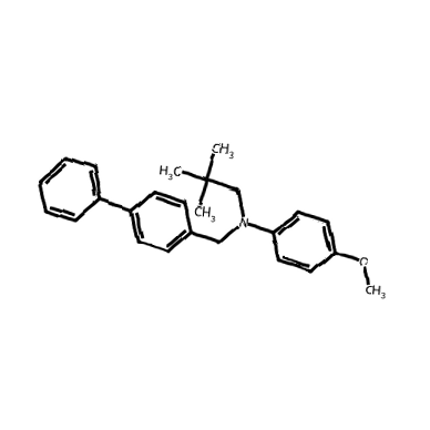 COc1ccc(N(Cc2ccc(-c3ccccc3)cc2)CC(C)(C)C)cc1